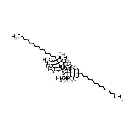 CCCCCCCCCCCCCCC(CC)(CC)C(CC)(CC)C(CC)(CC)C(CC)(CC)SC(CC)(CC)C(CC)(CC)C(CC)(CC)C(CC)(CC)CCCCCCCCCCCCCC